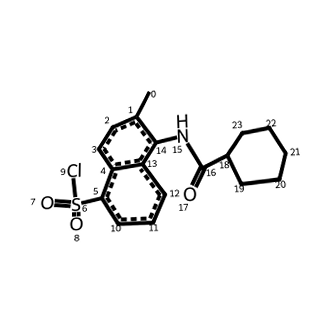 Cc1ccc2c(S(=O)(=O)Cl)cccc2c1NC(=O)C1CCCCC1